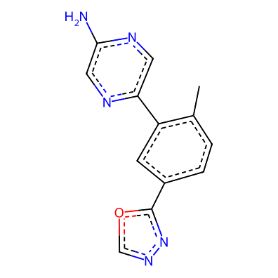 Cc1ccc(-c2nnco2)cc1-c1cnc(N)cn1